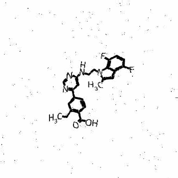 CCc1cc(-c2cc(NCCn3c(C)cc4c(F)ccc(F)c43)ncn2)ccc1C(=O)O